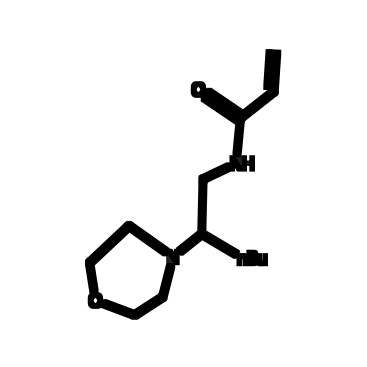 C=CC(=O)NCC(CCCC)N1CCOCC1